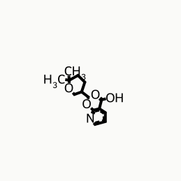 CC1(C)CCC(COc2ncccc2C(=O)O)CO1